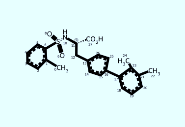 Cc1ccccc1S(=O)(=O)N[C@@H](Cc1ccc(-c2cccc(C)c2C)cc1)C(=O)O